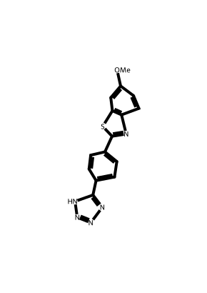 COc1ccc2nc(-c3ccc(-c4nnn[nH]4)cc3)sc2c1